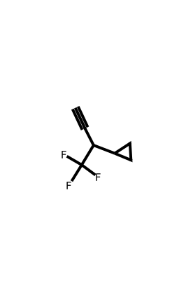 C#CC(C1CC1)C(F)(F)F